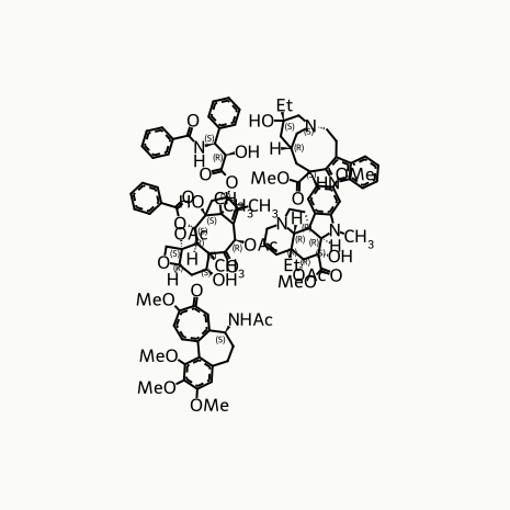 CC(=O)O[C@H]1C(=O)[C@@]2(C)[C@H]([C@H](OC(=O)c3ccccc3)[C@]3(O)C[C@H](OC(=O)[C@H](O)[C@@H](NC(=O)c4ccccc4)c4ccccc4)C(C)=C1C3(C)C)[C@]1(OC(C)=O)CO[C@@H]1C[C@@H]2O.CC[C@]1(O)C[C@@H]2C[N@@](CCc3c([nH]c4ccccc34)[C@@](C(=O)OC)(c3cc4c(cc3OC)N(C)[C@H]3[C@@](O)(C(=O)OC)[C@H](OC(C)=O)[C@]5(CC)C=CCN6CC[C@]43[C@@H]65)C2)C1.COc1cc2c(c(OC)c1OC)-c1ccc(OC)c(=O)cc1[C@@H](NC(C)=O)CC2